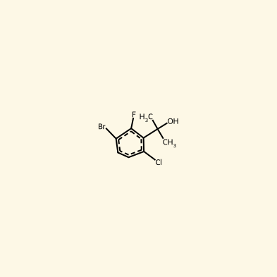 CC(C)(O)c1c(Cl)ccc(Br)c1F